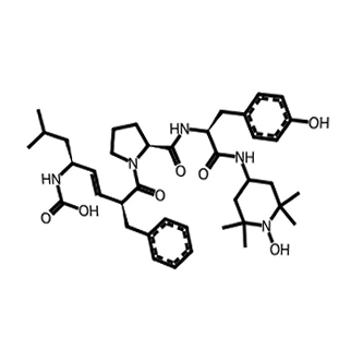 CC(C)C[C@@H](/C=C/[C@H](Cc1ccccc1)C(=O)N1CCC[C@H]1C(=O)N[C@@H](Cc1ccc(O)cc1)C(=O)NC1CC(C)(C)N(O)C(C)(C)C1)NC(=O)O